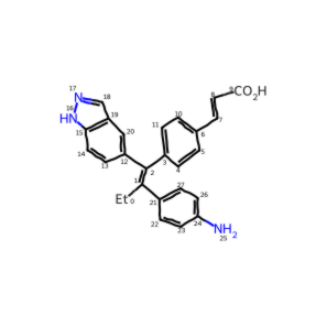 CC/C(=C(/c1ccc(/C=C/C(=O)O)cc1)c1ccc2[nH]ncc2c1)c1ccc(N)cc1